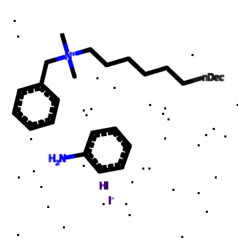 CCCCCCCCCCCCCCCC[N+](C)(C)Cc1ccccc1.I.Nc1ccccc1.[I-]